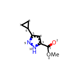 COC(=O)c1cc(C2CC2)n[nH]1